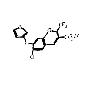 O=C(O)C1=Cc2cc(Cl)c(Oc3ccsc3)cc2OC1C(F)(F)F